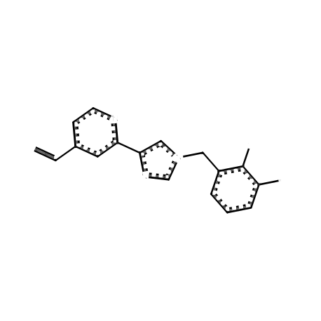 C=Cc1ccnc(-c2cn(Cc3cccc(Cl)c3Cl)cn2)c1